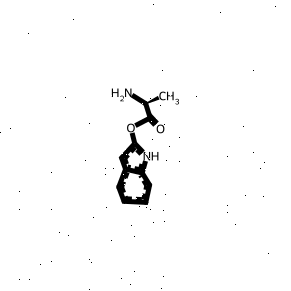 C[C@H](N)C(=O)Oc1cc2ccccc2[nH]1